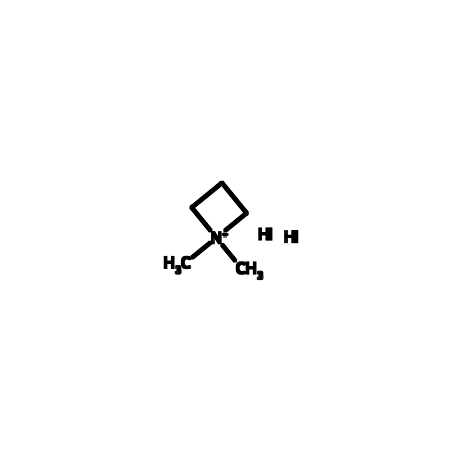 C[N+]1(C)CCC1.I.I